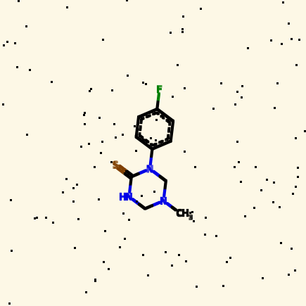 CN1CNC(=S)N(c2ccc(F)cc2)C1